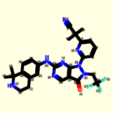 CC(C)(C#N)c1cccc(-n2c3nc(Nc4ccc5c(c4)CCNC5(C)C)ncc3c(=O)n2CC(F)(F)F)n1